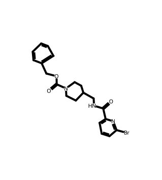 O=C(NCC1CCN(C(=O)OCc2ccccc2)CC1)c1cccc(Br)n1